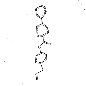 C=CCc1ccc(OC(=O)c2ccc(-c3ccccc3)cc2)cc1